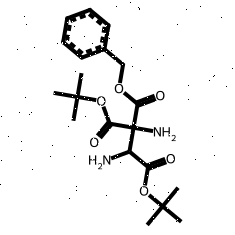 CC(C)(C)OC(=O)C(N)C(N)(C(=O)OCc1ccccc1)C(=O)OC(C)(C)C